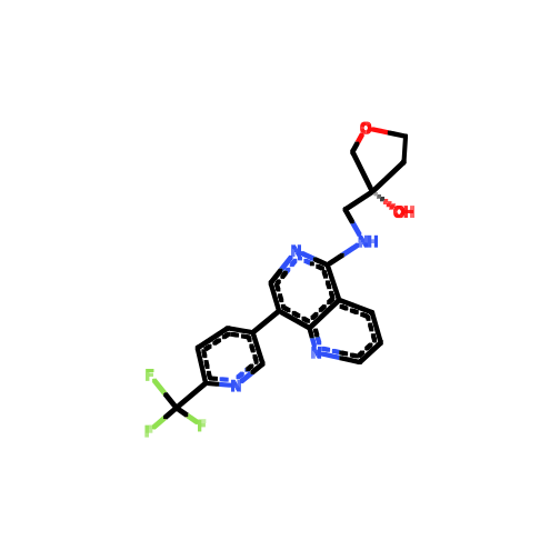 O[C@@]1(CNc2ncc(-c3ccc(C(F)(F)F)nc3)c3ncccc23)CCOC1